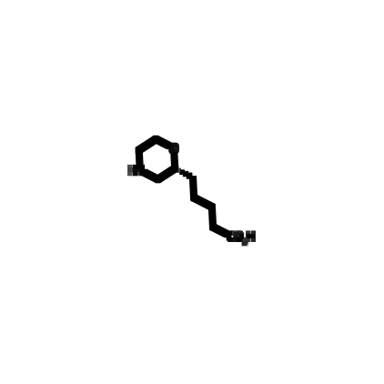 O=C(O)CCCC[C@@H]1CNCCO1